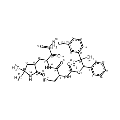 CC(C)C[C@H](NC(=O)OC(c1ccccc1)C(C)(C)c1cccc(Cl)c1)C(=O)NC(CC1CC(C)(C)NC1=O)C(=O)C(N)=O